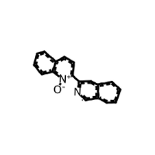 [O-][n+]1c(-c2cc3ccccc3[c]n2)ccc2ccccc21